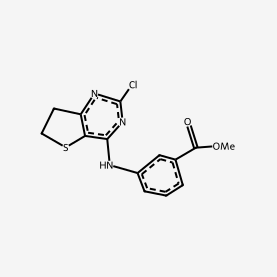 COC(=O)c1cccc(Nc2nc(Cl)nc3c2SCC3)c1